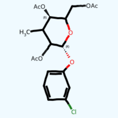 CC(=O)OCC1O[C@H](Oc2cccc(Cl)c2)C(OC(C)=O)C(C)[C@H]1OC(C)=O